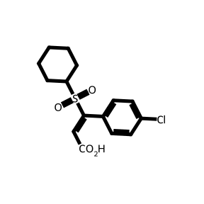 O=C(O)/C=C(\c1ccc(Cl)cc1)S(=O)(=O)C1CCCCC1